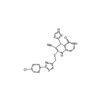 N#CC1=C(SCc2csc(-c3ccc(Cl)cc3)n2)Nc2cc[nH]c(=O)c2C1c1cc[nH]n1